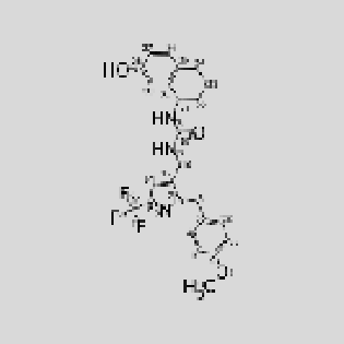 COc1ccc(Cn2nc(C(F)(F)F)cc2CNC(=O)NC2CCCc3ccc(O)cc32)cc1